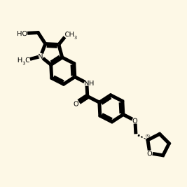 Cc1c(CO)n(C)c2ccc(NC(=O)c3ccc(OC[C@@H]4CCCO4)cc3)cc12